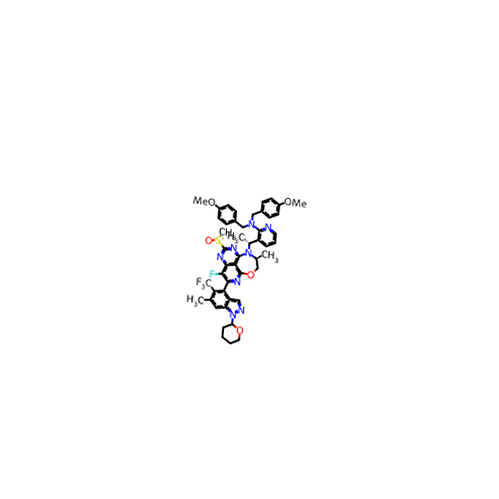 COc1ccc(CN(Cc2ccc(OC)cc2)c2ncccc2[C@@H](C)N2c3nc([S+](C)[O-])nc4c(F)c(-c5c(C(F)(F)F)c(C)cc6c5cnn6C5CCCCO5)nc(c34)OC[C@@H]2C)cc1